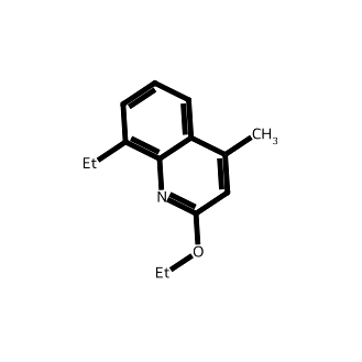 CCOc1cc(C)c2cccc(CC)c2n1